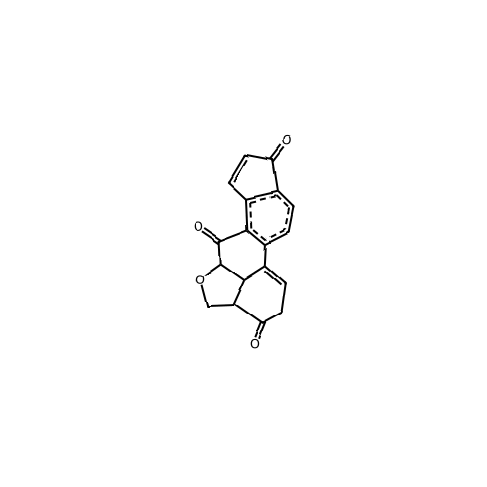 O=C1C=Cc2c1ccc1c2C(=O)C2OCC3C(=O)CC=C1C32